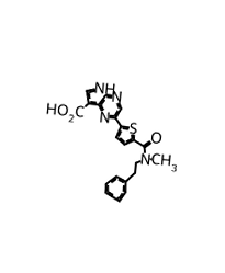 CN(CCc1ccccc1)C(=O)c1ccc(-c2cnc3[nH]cc(C(=O)O)c3n2)s1